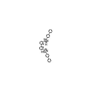 c1ccc(-c2ccc(-c3n[nH]c(-c4cccc(-c5cccc(-c6nnc(-c7ccc(-c8ccccc8)cc7)[nH]6)n5)n4)n3)cc2)cc1